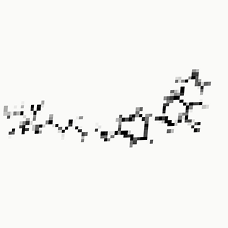 CS(=O)(=O)NCCOCCOc1ccc(-c2cc(=O)c3ccccc3o2)cc1